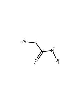 CCCCC(=O)[N]Br